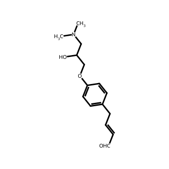 CN(C)CC(O)COc1ccc(CC=CC=O)cc1